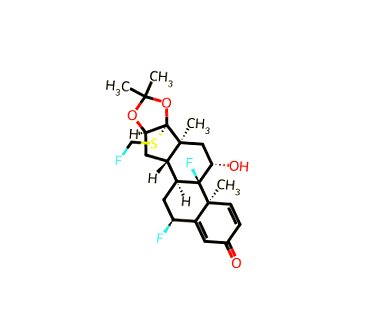 CC1(C)O[C@@H]2C[C@H]3[C@@H]4C[C@H](F)C5=CC(=O)C=C[C@]5(C)[C@@]4(F)[C@@H](O)C[C@]3(C)[C@]2(SCF)O1